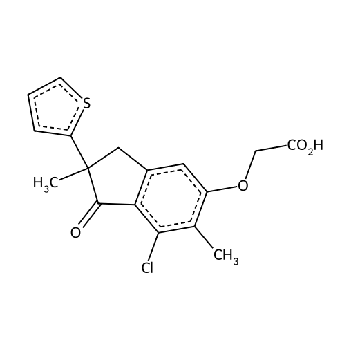 Cc1c(OCC(=O)O)cc2c(c1Cl)C(=O)C(C)(c1cccs1)C2